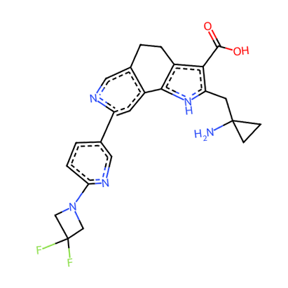 NC1(Cc2[nH]c3c(c2C(=O)O)CCc2cnc(-c4ccc(N5CC(F)(F)C5)nc4)cc2-3)CC1